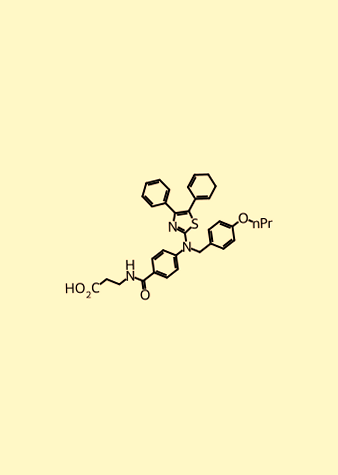 CCCOc1ccc(CN(c2ccc(C(=O)NCCC(=O)O)cc2)c2nc(-c3ccccc3)c(C3=CCCC=C3)s2)cc1